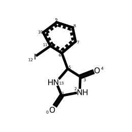 O=C1NC(=O)C(c2ccccc2I)N1